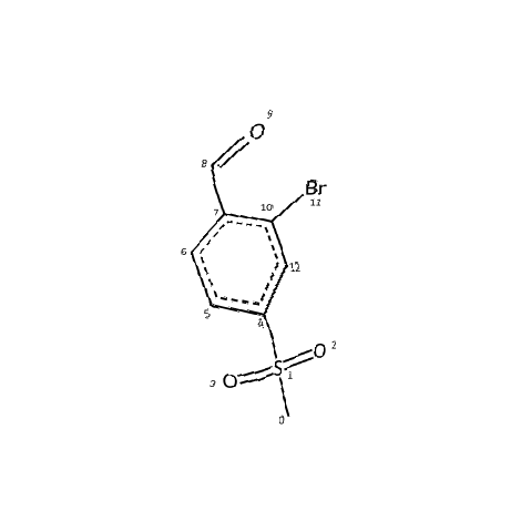 CS(=O)(=O)c1ccc([C]=O)c(Br)c1